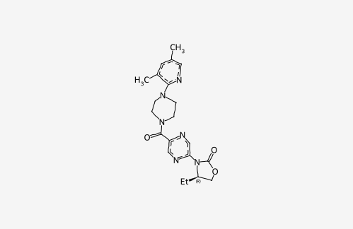 CC[C@@H]1COC(=O)N1c1cnc(C(=O)N2CCN(c3ncc(C)cc3C)CC2)cn1